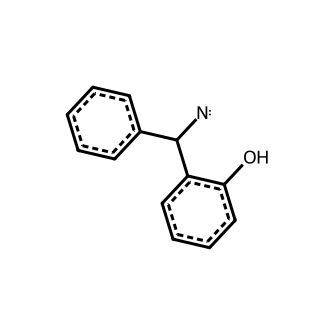 [N]C(c1ccccc1)c1ccccc1O